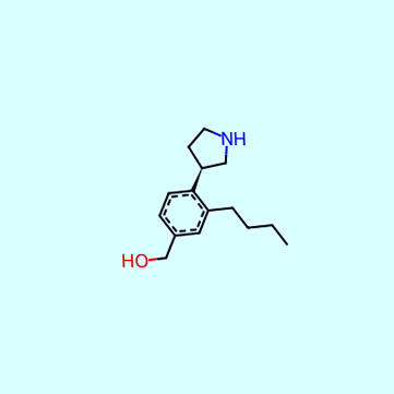 CCCCc1cc(CO)ccc1[C@H]1CCNC1